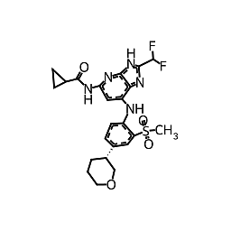 CS(=O)(=O)c1cc([C@H]2CCCOC2)ccc1Nc1cc(NC(=O)C2CC2)nc2[nH]c(C(F)F)nc12